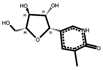 Cc1cc([C@@H]2O[C@H](CO)[C@@H](O)[C@@H]2O)c[nH]c1=O